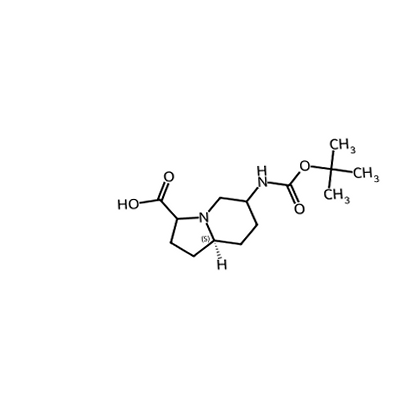 CC(C)(C)OC(=O)NC1CC[C@H]2CCC(C(=O)O)N2C1